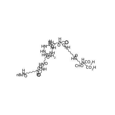 CCCCNC(=O)CCCCCCCNC(=O)C(Cc1ccccc1)NC(=O)CNC(=O)CCCC(=O)NC1(CN)CNCCNCC(CN)(NC(=O)CCCC(=O)NC(COCNCCCCCCCC(=O)NCCCCC(C=O)N[C@@H](CCC(=O)O)C(=O)O)Cc2ccccc2)CNCCNC1